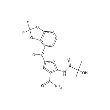 CC(C)(O)C(=O)Nc1sc([S+]([O-])c2cccc3c2OC(F)(F)O3)cc1C(N)=O